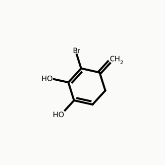 C=C1CC=C(O)C(O)=C1Br